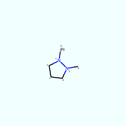 CC(C)N1CCCN1C